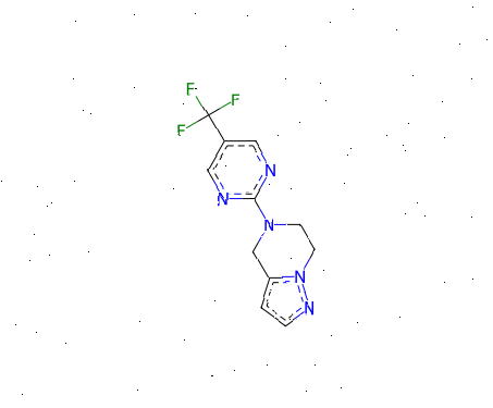 FC(F)(F)c1cnc(N2CCn3nccc3C2)nc1